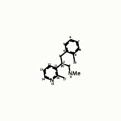 CNC[C@H](Cc1ccccc1C)c1cccnc1C